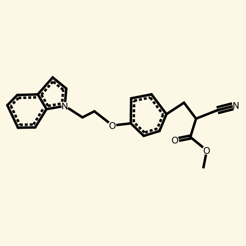 COC(=O)C(C#N)Cc1ccc(OCCn2ccc3ccccc32)cc1